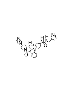 Cc1c(C(=O)N2CCC(n3ccnc3)CC2)c2ccccc2n1-c1ccc(NC(=O)NCc2cccnc2)cc1